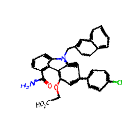 NC(=O)c1cccc2c1c1c(OCC(=O)O)cc(-c3ccc(Cl)cc3)cc1n2Cc1ccc2ccccc2c1